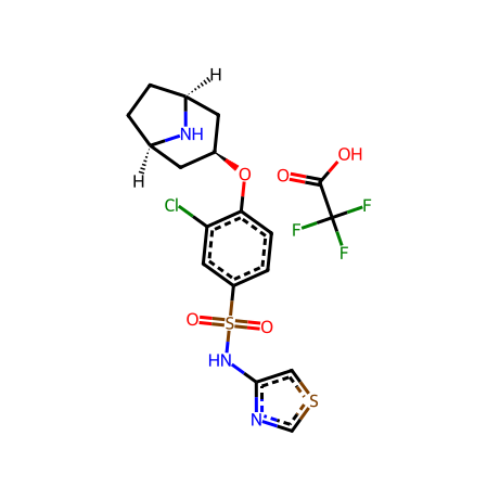 O=C(O)C(F)(F)F.O=S(=O)(Nc1cscn1)c1ccc(O[C@H]2C[C@H]3CC[C@@H](C2)N3)c(Cl)c1